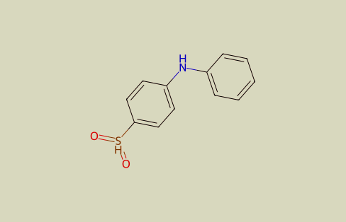 O=[SH](=O)c1ccc(Nc2ccccc2)cc1